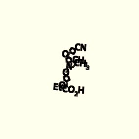 CCO[C@@H](Cc1ccc(OCCN2CCC(C)(C)c3cc(C(=O)c4ccc(C#N)cc4)ccc32)cc1)C(=O)O